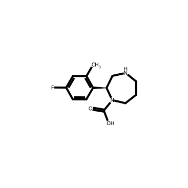 Cc1cc(F)ccc1[C@H]1CNCCCN1C(=O)O